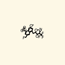 COc1cc(CC(OC)C(=O)C(C#N)C(F)(F)F)c2cc(CF)cc([N+](=O)[O-])c2c1